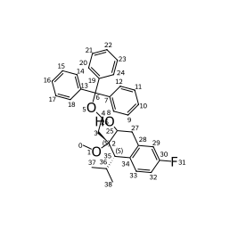 CO[C@]1(CCOC(c2ccccc2)(c2ccccc2)c2ccccc2)C(O)Cc2cc(F)ccc2[C@@H]1C(C)C